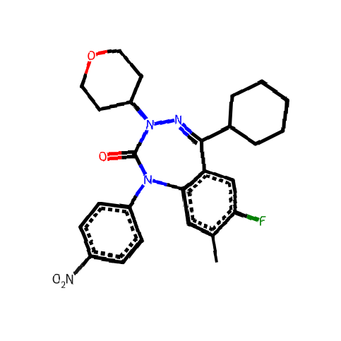 Cc1cc2c(cc1F)C(C1CCCCC1)=NN(C1CCOCC1)C(=O)N2c1ccc([N+](=O)[O-])cc1